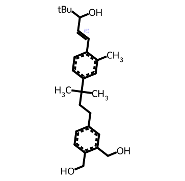 Cc1cc(C(C)(C)CCc2ccc(CO)c(CO)c2)ccc1/C=C/C(O)C(C)(C)C